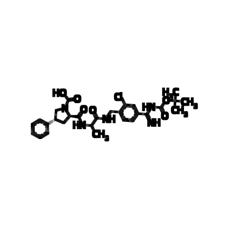 CC(NC(=O)[C@H]1C[C@H](c2ccccc2)CN1C(=O)O)C(=O)NCc1ccc(C(=N)NC(=O)OC(C)(C)C)cc1Cl